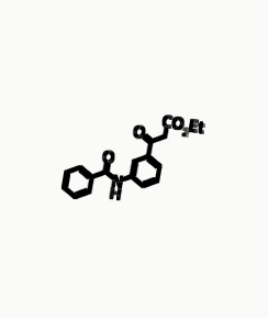 CCOC(=O)CC(=O)c1cccc(NC(=O)c2ccccc2)c1